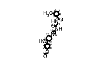 Cc1cccc(C(=O)NCC(=O)NC2CN([C@H]3CC[C@@](O)(c4ccc(OC=O)cc4)CC3)C2)c1